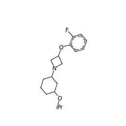 CC(C)OC1CCCC(N2CC(Oc3ccccc3F)C2)C1